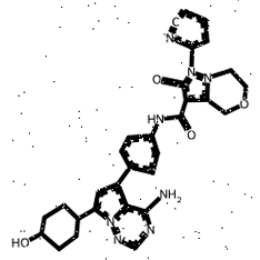 Nc1ncnn2c(C3CCC(O)CC3)cc(-c3ccc(NC(=O)c4c5n(n(-c6ccccn6)c4=O)CCOC5)cc3)c12